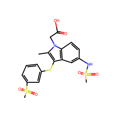 Cc1c(Sc2cccc(S(C)(=O)=O)c2)c2cc(NS(C)(=O)=O)ccc2n1CC(=O)O